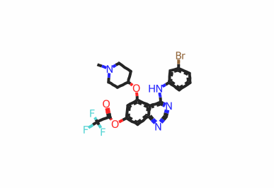 CN1CCC(Oc2cc(OC(=O)C(F)(F)F)cc3ncnc(Nc4cccc(Br)c4)c23)CC1